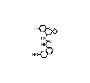 O=C(Nc1cccc2c1C[C@H](O)CC2)N[C@@H]1CC2(CCC2)Oc2ccc(F)cc21